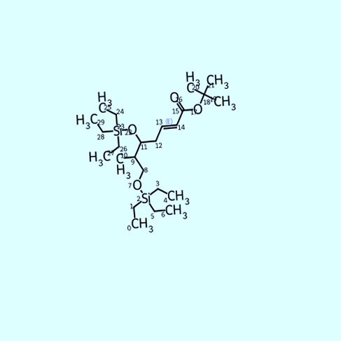 CC[Si](CC)(CC)OCC(C)C(C/C=C/C(=O)OC(C)(C)C)O[Si](CC)(CC)CC